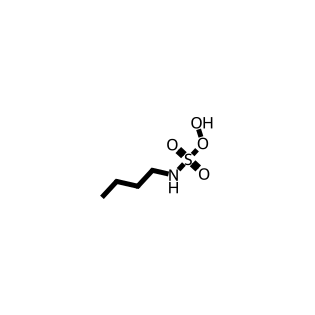 CCCCNS(=O)(=O)OO